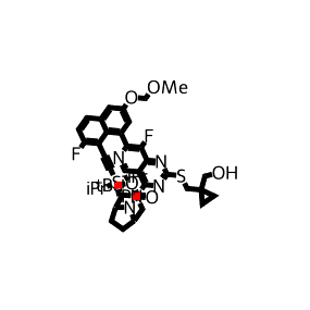 COCOc1cc(-c2ncc3c(N4CC5CCC(C4)N5C(=O)OC(C)(C)C)nc(SCC4(CO)CC4)nc3c2F)c2c(C#C[Si](C(C)C)(C(C)C)C(C)C)c(F)ccc2c1